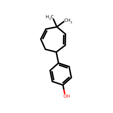 CC1(C)C=CCC(c2ccc(O)cc2)C=C1